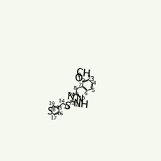 COc1ccccc1Cc1n[nH]c(SCc2ccsc2)n1